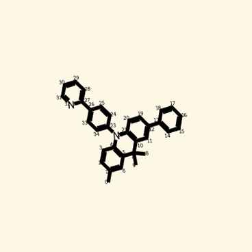 Cc1ccc2c(c1)C(C)(C)c1cc(-c3ccccc3)ccc1N2c1ccc(-c2ccccn2)cc1